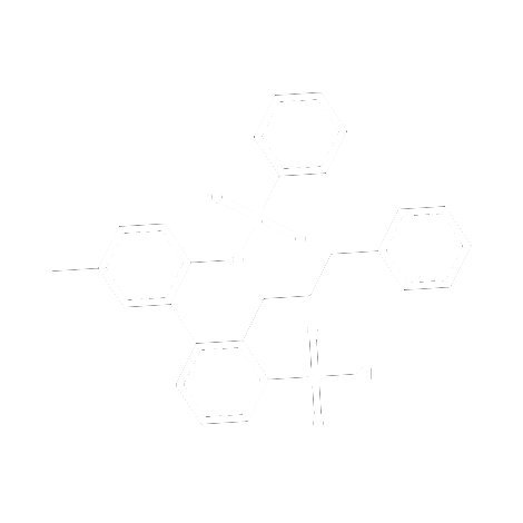 Cc1ccc(OS(=O)(=O)c2ccccc2)c(-c2cccc(S(=O)(=O)O)c2CCCc2ccccc2)c1